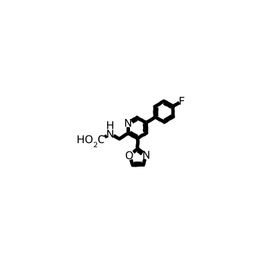 O=C(O)NCc1ncc(-c2ccc(F)cc2)cc1-c1ncco1